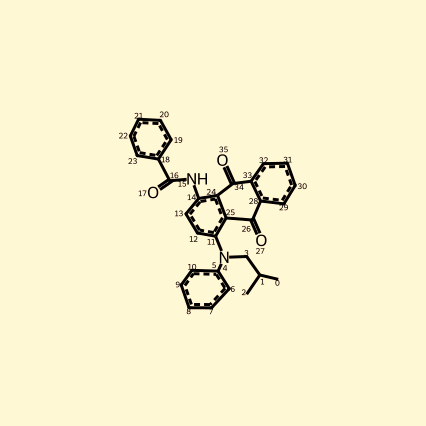 CC(C)CN(c1ccccc1)c1ccc(NC(=O)c2ccccc2)c2c1C(=O)c1ccccc1C2=O